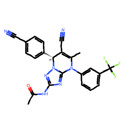 [CH2]C(=O)Nc1nc2n(n1)[C@H](c1ccc(C#N)cc1)C(C#N)=C(C)N2c1cccc(C(F)(F)F)c1